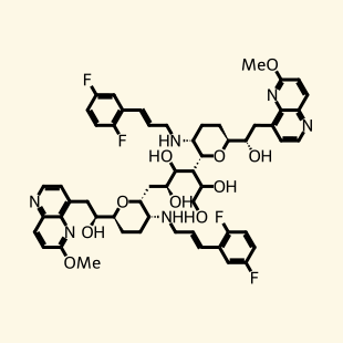 COc1ccc2nccc(C[C@H](O)[C@@H]3CC[C@@H](NC/C=C/c4cc(F)ccc4F)[C@@H](C(C(O)CO)C(O)[C@@H](O)C[C@H]4O[C@H]([C@@H](O)Cc5ccnc6ccc(OC)nc56)CC[C@H]4NC/C=C/c4cc(F)ccc4F)O3)c2n1